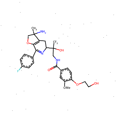 COc1cc(C(=O)NCC(O)(C2CC3=C(OCC3(C)N)C(c3ccc(F)cc3)=N2)C(F)(F)F)ccc1OCCO